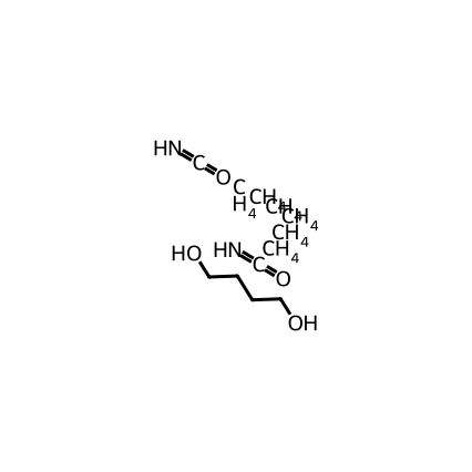 C.C.C.C.C.C.N=C=O.N=C=O.OCCCCO